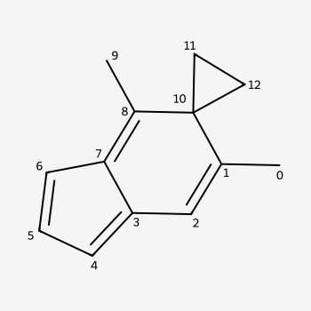 CC1=CC2=CC=CC2=C(C)C12CC2